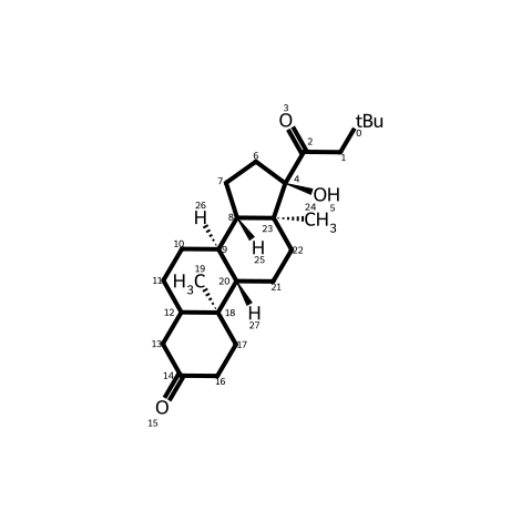 CC(C)(C)CC(=O)[C@@]1(O)CC[C@H]2[C@@H]3CCC4CC(=O)CC[C@]4(C)[C@H]3CC[C@@]21C